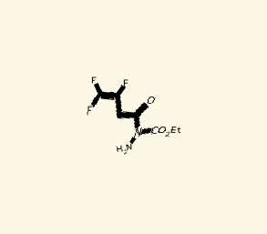 CCOC(=O)N(N)C(=O)CC(F)=C(F)F